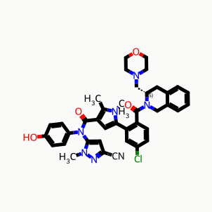 Cc1c(C(=O)N(c2ccc(O)cc2)c2cc(C#N)nn2C)cc(-c2cc(Cl)ccc2C(=O)N2Cc3ccccc3C[C@H]2CN2CCOCC2)n1C